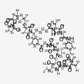 CC[C@H](C)C([C@@H](CC(=O)N1CCC[C@H]1[C@H](OC)[C@@H](C)C(=O)NCC(=O)c1ccccc1)OC)N(C)C(=O)CNC(=O)C(C(C)C)N(C)C(=O)OCc1ccc(NC(=O)CNC(=O)C(NC(=O)CCCCCN2C(=O)CC(SCC(C)(C)CC(C)(C)CC(=O)ON3C(=O)CCC3=O)C2=O)C(C)C)cc1